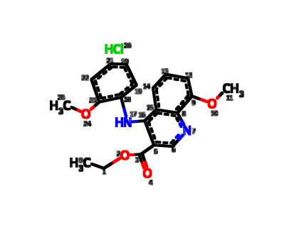 CCOC(=O)c1cnc2c(OC)cccc2c1Nc1ccccc1OC.Cl